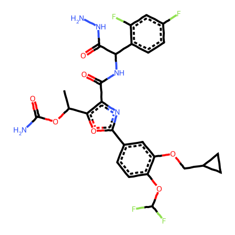 CC(OC(N)=O)c1oc(-c2ccc(OC(F)F)c(OCC3CC3)c2)nc1C(=O)NC(C(=O)NN)c1ccc(F)cc1F